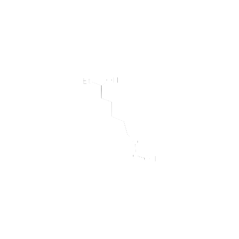 CCC(O)CCCCCOOO